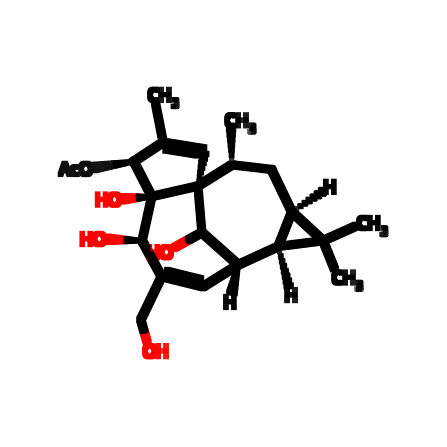 CC(=O)O[C@H]1C(C)=C[C@]23C(O)[C@@H](C=C(CO)[C@@H](O)[C@]12O)[C@H]1[C@@H](C[C@H]3C)C1(C)C